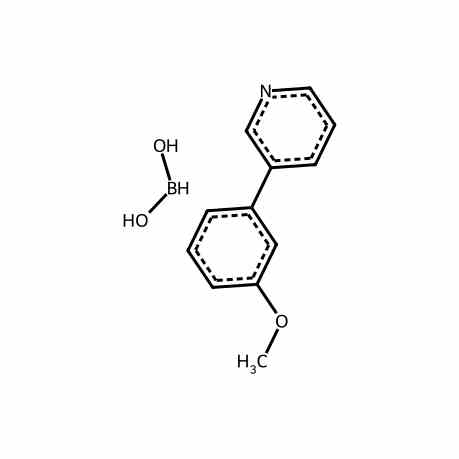 COc1cccc(-c2cccnc2)c1.OBO